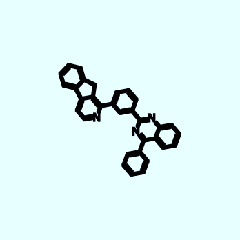 c1ccc(-c2nc(-c3cccc(-c4nccc5c4Cc4ccccc4-5)c3)nc3ccccc23)cc1